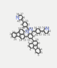 C1=CC2c3cccc4c(-c5cc(-c6ccc7c8c(cccc68)-c6ccccc6-7)c6nc(-c7ccc(-c8cccnc8)cc7)nc(-c7ccc(-c8cccnc8)cc7)c6c5)ccc(c34)C2C=C1